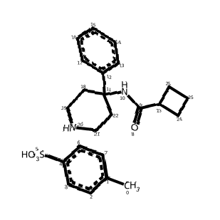 Cc1ccc(S(=O)(=O)O)cc1.O=C(NC1(c2ccccc2)CCNCC1)C1CCC1